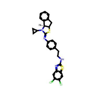 Clc1cc2nc(NCCc3ccc(/N=C4\SC5Cc6ccccc6[C@@H]5N4C4CC4)cc3)sc2cc1Cl